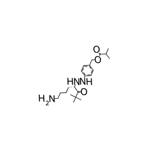 CC(C)C(=O)OCc1ccc(NN[C@@H](CCCCN)C(=O)C(C)(C)C)cc1